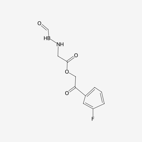 O=CBNCC(=O)OCC(=O)c1cccc(F)c1